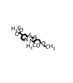 CCOC(=O)Cc1sc(Sc2cc(C(=O)OC)ccn2)nc1C